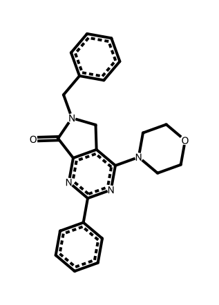 O=C1c2nc(-c3ccccc3)nc(N3CCOCC3)c2CN1Cc1ccccc1